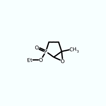 CCOP1(=O)CCC2(C)OC21